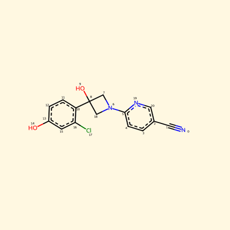 N#Cc1ccc(N2CC(O)(c3ccc(O)cc3Cl)C2)nc1